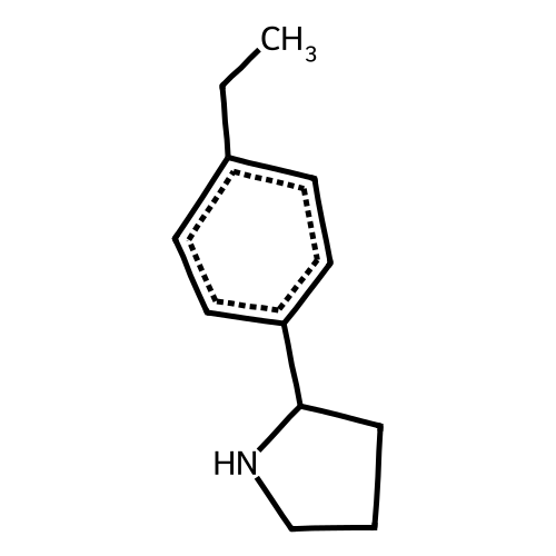 CCc1ccc(C2CCCN2)cc1